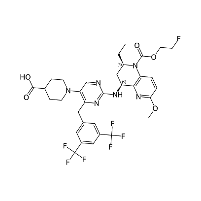 CC[C@@H]1C[C@H](Nc2ncc(N3CCC(C(=O)O)CC3)c(Cc3cc(C(F)(F)F)cc(C(F)(F)F)c3)n2)c2nc(OC)ccc2N1C(=O)OCCF